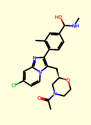 CNC(O)c1ccc(-c2nc3cc(Cl)ccn3c2C[C@@H]2CN(C(C)=O)CCO2)c(C)c1